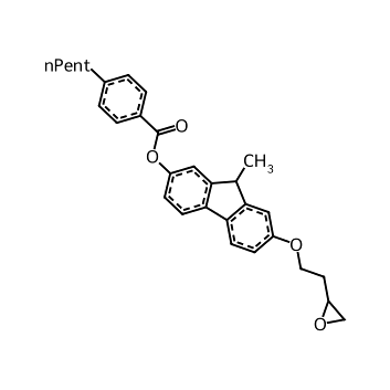 CCCCCc1ccc(C(=O)Oc2ccc3c(c2)C(C)c2cc(OCCC4CO4)ccc2-3)cc1